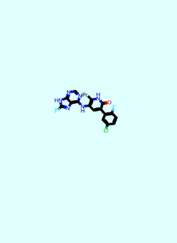 CC(C)c1[nH]c(=O)c(-c2cc(Cl)ccc2F)cc1Nc1ncnc2[nH]c(F)nc12